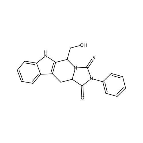 O=C1C2Cc3c([nH]c4ccccc34)C(CO)N2C(=S)N1c1ccccc1